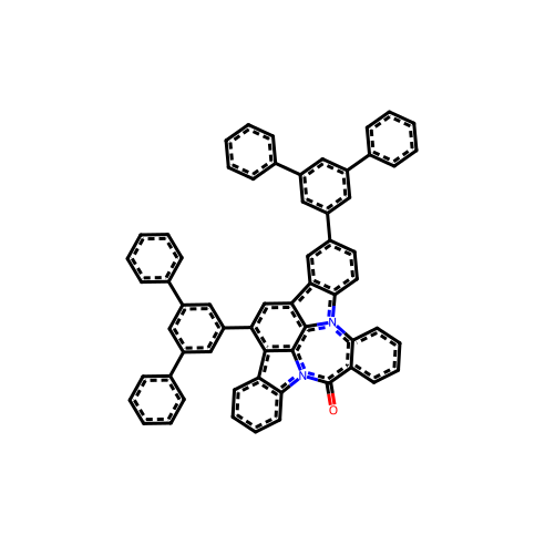 O=c1c2ccccc2n2c3ccc(-c4cc(-c5ccccc5)cc(-c5ccccc5)c4)cc3c3cc(-c4cc(-c5ccccc5)cc(-c5ccccc5)c4)c4c5ccccc5n1c4c32